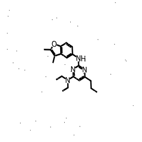 CCCc1cc(N(CC)CC)nc(Nc2ccc3oc(C)c(C)c3c2)n1